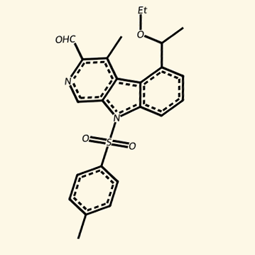 CCOC(C)c1cccc2c1c1c(C)c(C=O)ncc1n2S(=O)(=O)c1ccc(C)cc1